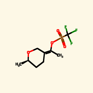 CC(OS(=O)(=O)C(F)(F)F)=C1CC[C@@H](C)OC1